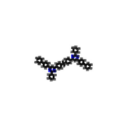 CC(C)(c1ccc(-c2cc(-c3ccc(-c4ccccc4)cc3)nc(-c3ccccc3)n2)cc1)c1ccc(-c2cc(-c3ccc(-c4ccccc4)cc3)nc(-c3ccccc3)n2)cc1